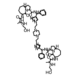 C[C@H](NCCO)C(=O)N[C@H]1CCCC[C@H]2CC[C@@H](C(=O)N[C@@H](c3ccccc3)c3cn(CCN4CCN(CCn5cc([C@@H](NC(=O)[C@@H]6CC[C@@H]7CCCC[C@H](NC(=O)[C@H](C)NCCO)C(=O)N76)c6ccccc6)nn5)CC4)nn3)N2C1=O